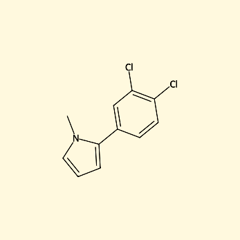 Cn1cccc1-c1ccc(Cl)c(Cl)c1